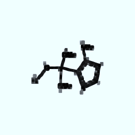 CCOC(OC)(OC)c1sccc1SC